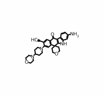 C#Cc1cc2c(cc1N1CCC(N3CCOCC3)CC1)C1(CCOCC1)c1[nH]c3cc(N)ccc3c1C2=O